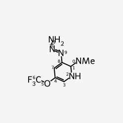 CNC1NC=C(OC(F)(F)F)C=C1N=NN